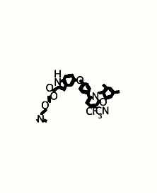 Cc1ccc(Cn2c(-c3ccc(Oc4ccc5[nH]c(C(=O)OCCOCCN(C)C)cc5c4)cc3)cc(C(F)(F)F)c(C#N)c2=O)c(C)c1